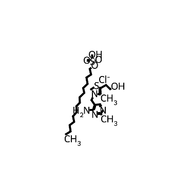 CCCCCCCCCCCCCCCCOS(=O)(=O)O.Cc1ncc(C[n+]2csc(CCO)c2C)c(N)n1.[Cl-]